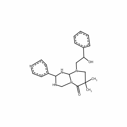 CC1(C)CN(CC(O)c2ccccc2)C2NC(c3ccncc3)NCN2C1=O